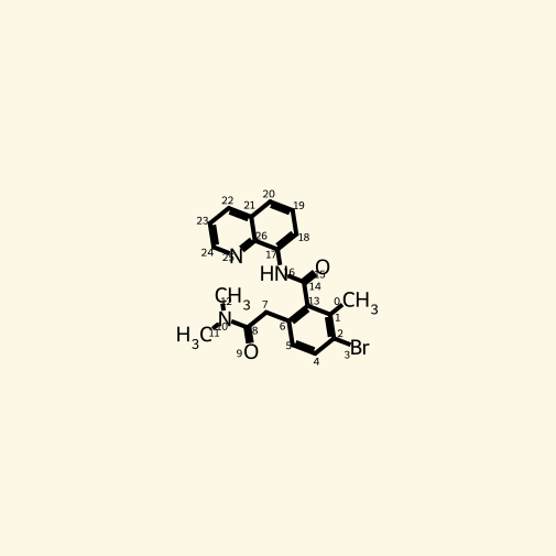 Cc1c(Br)ccc(CC(=O)N(C)C)c1C(=O)Nc1cccc2cccnc12